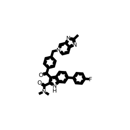 Cc1nc2ccn(Cc3ccc(C(=O)c4c(C(=O)N(C)C)[nH]c5cc(-c6ccc(F)cc6)ccc45)cc3)cc-2n1